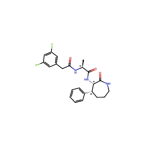 C[C@H](NC(=O)Cc1cc(F)cc(F)c1)C(=O)N[C@@H]1C(=O)NCCC[C@@H]1c1ccccc1